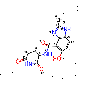 Cc1nc2c(C(=O)NC3CCC(=O)NC3=O)c(O)ccc2[nH]1